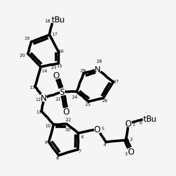 CC(C)(C)OC(=O)COc1cccc(CN(Cc2ccc(C(C)(C)C)cc2)S(=O)(=O)c2cccnc2)c1